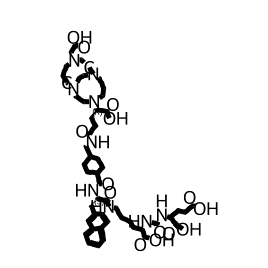 O=C(O)CCC(NC(=O)NC(CCCCNC(=O)[C@H](Cc1ccc2ccccc2c1)NC(=O)C1CCC(CNC(=O)CC[C@H](C(=O)O)N2CCCN3CCN(CCCN(CC(=O)O)CC3)CC2)CC1)C(=O)O)C(=O)O